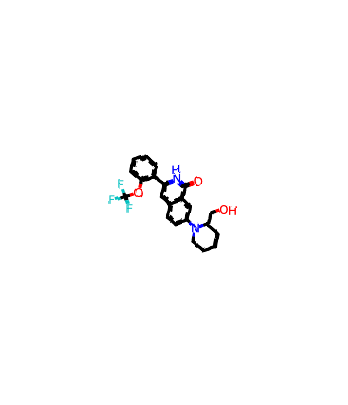 O=c1[nH]c(-c2ccccc2OC(F)(F)F)cc2ccc(N3CCCCC3CO)cc12